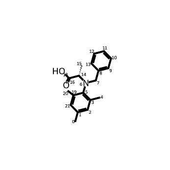 Cc1cc(C)c(N(Cc2ccccc2)[C@@H](C)C(=O)O)c(C)c1